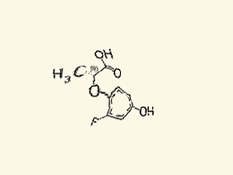 C[C@@H](Oc1ccc(O)cc1F)C(=O)O